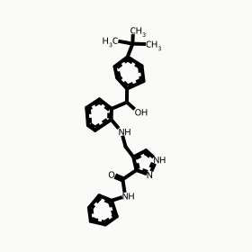 CC(C)(C)c1ccc(C(O)c2ccccc2NCc2c[nH]nc2C(=O)Nc2ccccc2)cc1